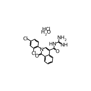 Cl.N=C(N)NC(=O)c1cn(-c2ccc(Cl)cc2Cl)c(=O)c2ccccc12.O